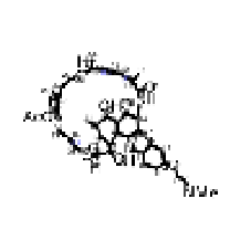 CNCCOC1CCC2NC3C(OC2C1)C1NC(=O)/C(C)=C\C=C\[C@H](C)CCC[C@@H](C)[C@H](OC(C)=O)CC/C=C/O[C@H]2OC4C(C)C(O)C(C1=O)C3C4C2=O